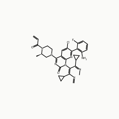 C=CC(=O)N1CCN(c2nc(=O)n(C(/C(=N\C)C3CC3)=C(/N=C)C3CC3)c3nc(-c4c(N)cccc4F)c(Cl)cc23)C[C@H]1C